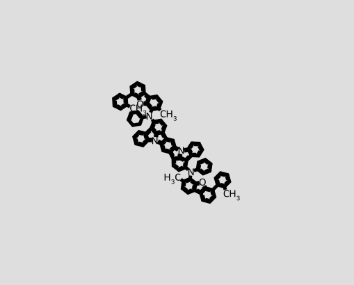 Cc1ccccc1-c1cccc2c1oc1c(N(C3=CC=CCC3)c3ccc4c5cc6c(cc5n5c7ccccc7c3c45)c3ccc(N(c4ccccc4)c4c(C)ccc5c4oc4c(-c7ccccc7C)cccc45)c4c5ccccc5n6c34)c(C)ccc12